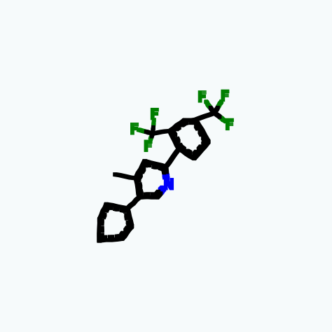 Cc1cc(-c2ccc(C(F)(F)F)cc2C(F)(F)F)ncc1-c1ccccc1